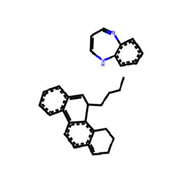 C1=CNc2ccccc2N=C1.CCCCC1C=c2ccccc2=c2ccc3c(c21)CCCC=3